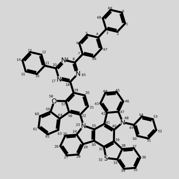 c1ccc(-c2ccc(-c3nc(-c4ccccc4)nc(-c4ccc(-n5c6ccccc6c6c7sc8ccccc8c7c7c(c8ccccc8n7-c7ccccc7)c65)c5c4oc4ccccc45)n3)cc2)cc1